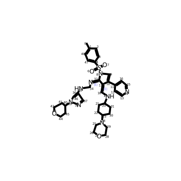 Cc1ccc(S(=O)(=O)N2C=C(c3ccncc3)C(=C\NC3CCC(N4CCOCC4)CC3)/C2=N\CNc2cnn(C3CCOCC3)c2)cc1